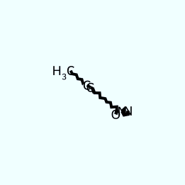 CCCCCCCCC=CCCCCCCCC(=O)n1ccnc1